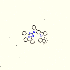 CC1(C)c2cccc(-n3c4ccccc4c4cc5c6ccccc6n(-c6nc(-c7ccccc7)nc(-c7ccccc7-c7ccccc7)n6)c5cc43)c2C(C)(C)C1(C)C